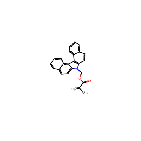 C=C(C)C(=O)OCn1c2ccc3ccccc3c2c2c3ccccc3ccc21